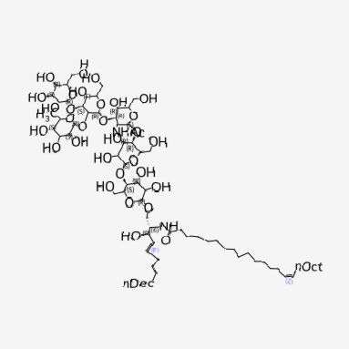 CCCCCCCC/C=C\CCCCCCCCCCCCCC(=O)N[C@@H](CO[C@@H]1OC(CO)[C@@H](O[C@@H]2OC(CO)[C@H](O[C@@H]3OC(CO)[C@H](O)[C@H](O[C@@H]4OC(CO)[C@H](O)[C@H](O[C@H]5OC(CO)[C@H](O)[C@H](O)C5O)C4O[C@H]4OC(C)[C@@H](O)C(O)[C@@H]4O)C3NC(C)=O)[C@H](O)C2O)[C@H](O)C1O)[C@H](O)/C=C/CCCCCCCCCCCCC